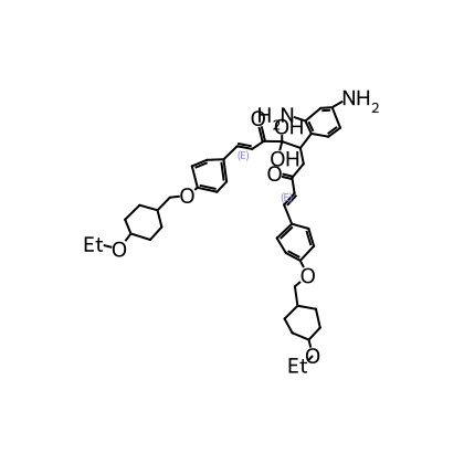 CCOC1CCC(COc2ccc(/C=C/C(=O)CC(c3ccc(N)cc3N)C(O)(O)C(=O)/C=C/c3ccc(OCC4CCC(OCC)CC4)cc3)cc2)CC1